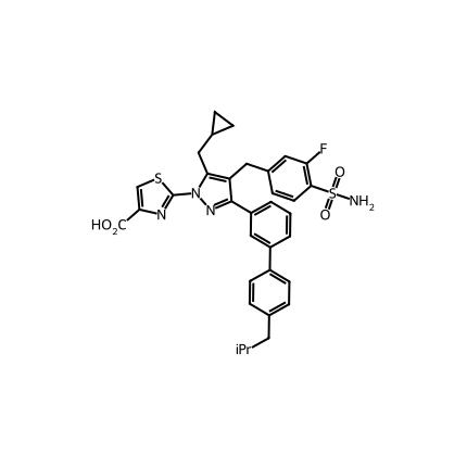 CC(C)Cc1ccc(-c2cccc(-c3nn(-c4nc(C(=O)O)cs4)c(CC4CC4)c3Cc3ccc(S(N)(=O)=O)c(F)c3)c2)cc1